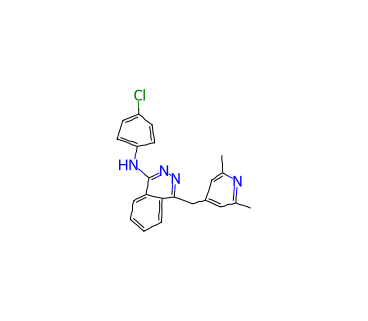 Cc1cc(Cc2nnc(Nc3ccc(Cl)cc3)c3ccccc23)cc(C)n1